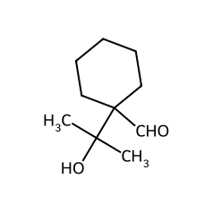 CC(C)(O)C1(C=O)CCCCC1